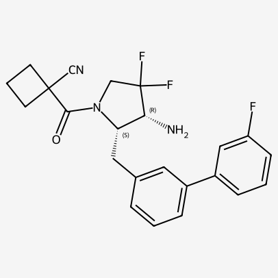 N#CC1(C(=O)N2CC(F)(F)[C@H](N)[C@@H]2Cc2cccc(-c3cccc(F)c3)c2)CCC1